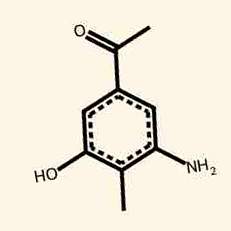 CC(=O)c1cc(N)c(C)c(O)c1